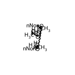 CCCCCCCCCNC(=O)C(C)(C)CCCCCC(CCCCCC(C)(C)C(=O)NCCCCCCCCC)OC(=O)CCN(C)C